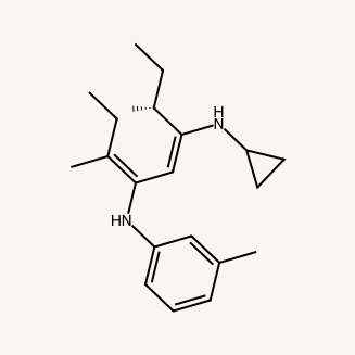 CC/C(C)=C(\C=C(\NC1CC1)[C@H](C)CC)Nc1cccc(C)c1